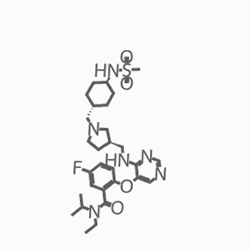 CCN(C(=O)c1cc(F)ccc1Oc1cncnc1NC[C@H]1CCN(C[C@H]2CC[C@H](NS(C)(=O)=O)CC2)C1)C(C)C